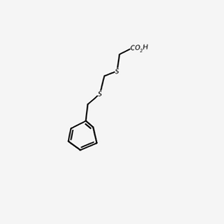 O=C(O)CSCSCc1ccccc1